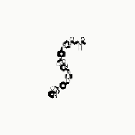 CC(=O)NCCC(=O)N1CCN(Cc2ccc([C@H]3COc4ccc(CN5CCN(Cc6ccc([C@H]7COc8cccnc8O7)cc6)CC5)nc4O3)cc2)CC1